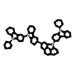 c1ccc(-n2c3ccccc3c3cc(-n4c5ccccc5c5cc(-c6cc7ccc8cccc9c8c7c(c6)n9-c6ccc7c(c6)c6ccccc6n7-c6ccccc6)ccc54)ccc32)cc1